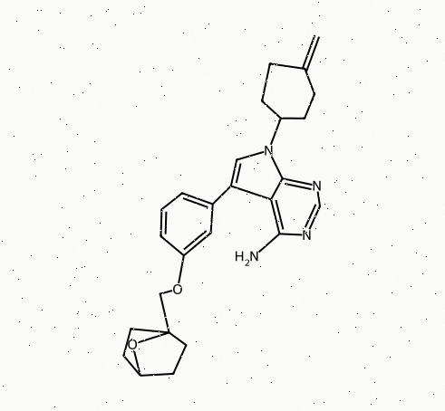 C=C1CCC(n2cc(-c3cccc(OCC45CCC(CC4)O5)c3)c3c(N)ncnc32)CC1